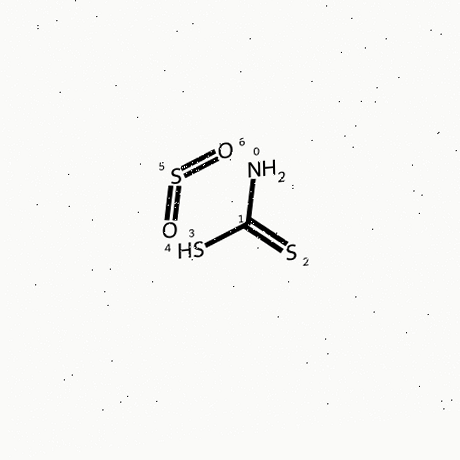 NC(=S)S.O=S=O